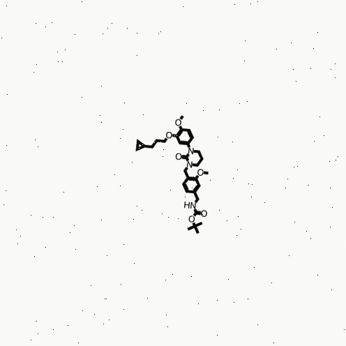 COc1cc(CNC(=O)OC(C)(C)C)ccc1CN1CCCN(c2ccc(OC)c(OCCCC3CC3)c2)C1=O